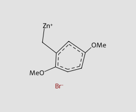 COc1ccc(OC)c([CH2][Zn+])c1.[Br-]